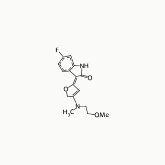 COCCN(C)C1=CC(=C2C(=O)Nc3cc(F)ccc32)OC1